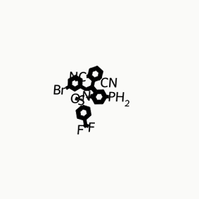 N#Cc1cccc(C#N)c1-c1c(-c2cccc(Br)c2)n([S+]([O-])c2ccc(C(F)F)cc2)c2ccc(P)cc12